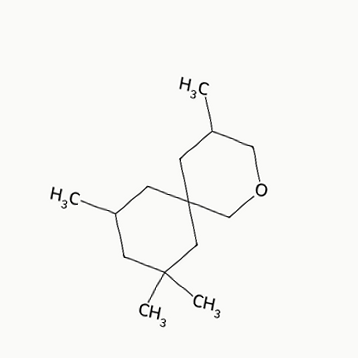 CC1COCC2(C1)CC(C)CC(C)(C)C2